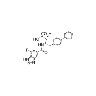 O=C(NC(Cc1ccc(-c2ccccc2)cc1)C[C@@H](O)C(=O)O)c1cc(F)c2[nH]nnc2c1